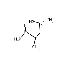 CC(C[C@@H](C)S)P(F)P